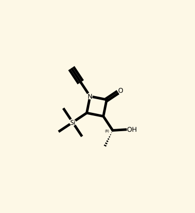 C#CN1C(=O)C([C@@H](C)O)C1[Si](C)(C)C